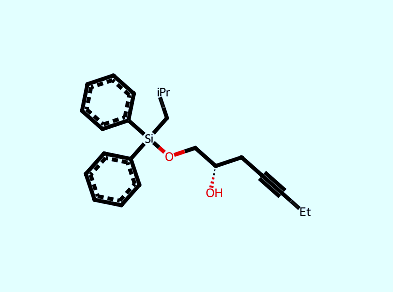 CCC#CC[C@H](O)CO[Si](CC(C)C)(c1ccccc1)c1ccccc1